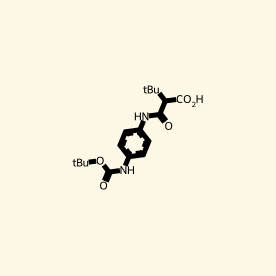 CC(C)(C)OC(=O)Nc1ccc(NC(=O)C(C(=O)O)C(C)(C)C)cc1